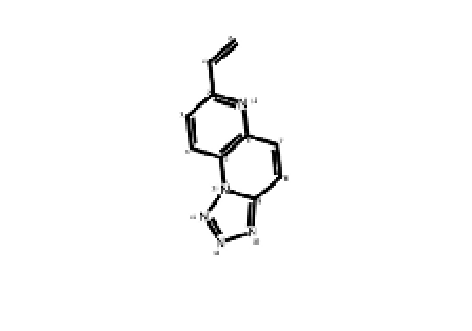 C=Cc1ccc2c(ccc3nnnn32)n1